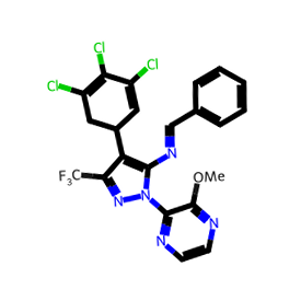 COc1nccnc1-n1nc(C(F)(F)F)c(C2C=C(Cl)C(Cl)=C(Cl)C2)c1/N=C/c1ccccc1